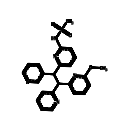 COc1cccc(C(c2ccccn2)C(c2cccnc2)c2cccc(NS(C)(=O)=O)n2)n1